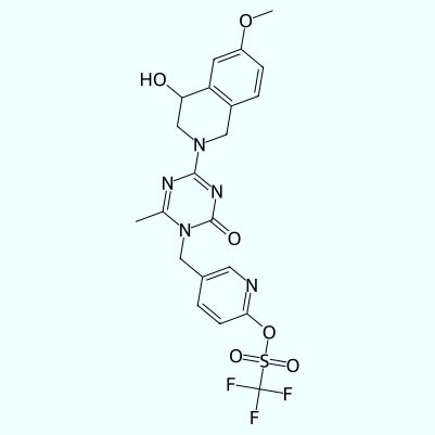 COc1ccc2c(c1)C(O)CN(c1nc(C)n(Cc3ccc(OS(=O)(=O)C(F)(F)F)nc3)c(=O)n1)C2